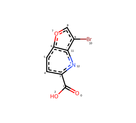 O=C(O)c1ccc2occ(Br)c2n1